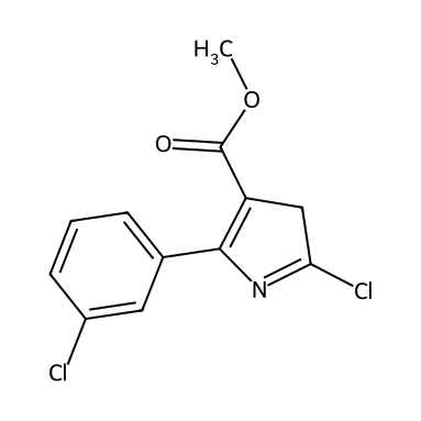 COC(=O)C1=C(c2cccc(Cl)c2)N=C(Cl)C1